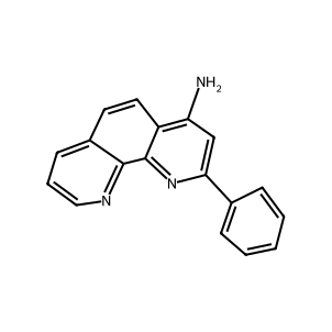 Nc1cc(-c2ccccc2)nc2c1ccc1cccnc12